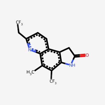 Cc1c(C(F)(F)F)c2c(c3ccc(CC(F)(F)F)nc13)CC(=O)N2